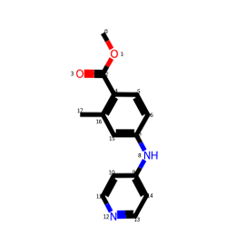 COC(=O)c1ccc(Nc2ccncc2)cc1C